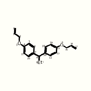 C=CCOc1ccc(C([C]C)c2ccc(OCC=C)cc2)cc1